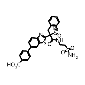 NS(=O)(=O)CCNC(=O)C(Cc1ccccc1)(c1nc2ccc(-c3ccc(C(=O)O)cc3)cc2s1)[SH](=O)=O